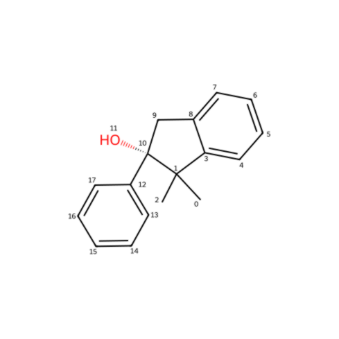 CC1(C)c2ccccc2C[C@]1(O)c1ccccc1